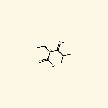 CC[C@@H](C(=N)C(C)C)C(=O)O